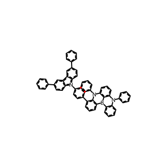 c1ccc(-c2ccc3c(c2)c2cc(-c4ccccc4)ccc2n3-c2ccc(-c3cccc4c3N(c3ccccc3)c3cccc5c3B4c3ccccc3N5c3ccccc3)cc2)cc1